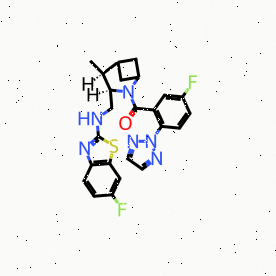 C[C@H]1C2CC(C2)N(C(=O)c2cc(F)ccc2-n2nccn2)[C@H]1CNc1nc2ccc(F)cc2s1